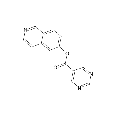 O=C(Oc1ccc2cnccc2c1)c1cncnc1